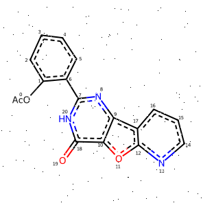 CC(=O)Oc1ccccc1-c1nc2c(oc3ncccc32)c(=O)[nH]1